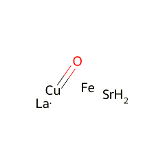 [Fe].[La].[O]=[Cu].[SrH2]